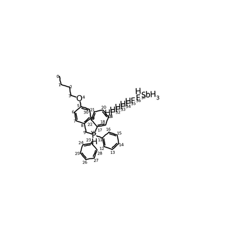 CCCCOc1ccc(C[PH](c2ccccc2)(c2ccccc2)c2ccccc2)cc1.F.F.F.F.F.F.[SbH3]